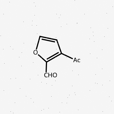 CC(=O)c1ccoc1C=O